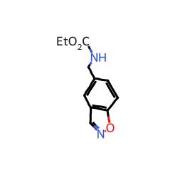 CCOC(=O)NCc1ccc2oncc2c1